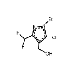 CCn1nc(C(F)F)c(CO)c1Cl